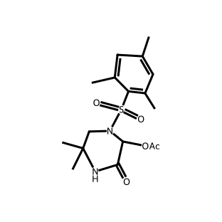 CC(=O)OC1C(=O)NC(C)(C)CN1S(=O)(=O)c1c(C)cc(C)cc1C